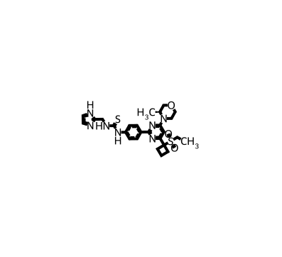 CCS(=O)(=O)C1(c2cc(N3CCOC[C@@H]3C)nc(-c3ccc(NC(=S)NCc4ncc[nH]4)cc3)n2)CCC1